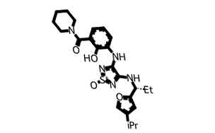 CC[C@@H](Nc1n[s+]([O-])nc1Nc1cccc(C(=O)N2CCCCC2)c1O)c1cc(C(C)C)co1